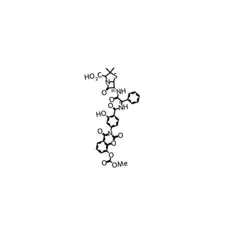 COC(=O)Oc1cccc2c(=O)n(-c3ccc(C(=O)N[C@@H](C(=O)N[C@@H]4C(=O)N5C4SC(C)(C)C5C(=O)O)c4ccccc4)c(O)c3)c(=O)oc12